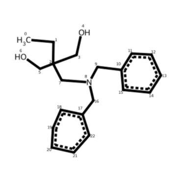 CCC(CO)(CO)CN(Cc1ccccc1)Cc1ccccc1